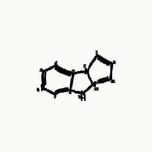 c1cn2c3ccncc3[nH][n+]2c1